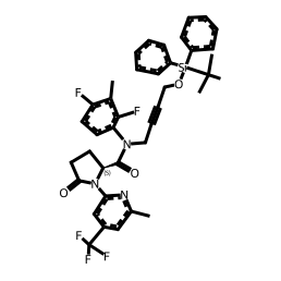 Cc1cc(C(F)(F)F)cc(N2C(=O)CC[C@H]2C(=O)N(CC#CCO[Si](c2ccccc2)(c2ccccc2)C(C)(C)C)c2ccc(F)c(C)c2F)n1